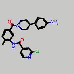 Cc1ccc(C(=O)N2CCC(c3ccc(N)cc3)CC2)cc1NC(=O)c1ccnc(Cl)c1